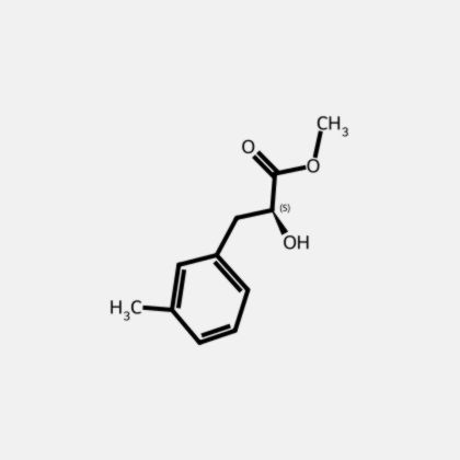 COC(=O)[C@@H](O)Cc1cccc(C)c1